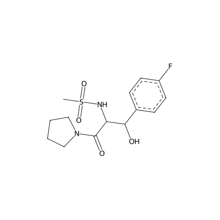 CS(=O)(=O)NC(C(=O)N1CCCC1)C(O)c1ccc(F)cc1